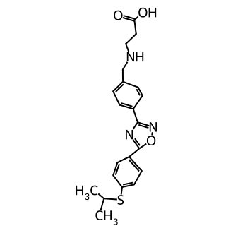 CC(C)Sc1ccc(-c2nc(-c3ccc(CNCCC(=O)O)cc3)no2)cc1